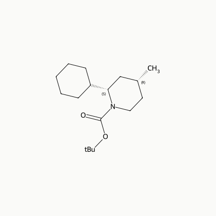 C[C@@H]1CCN(C(=O)OC(C)(C)C)[C@H](C2CCCCC2)C1